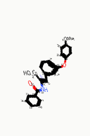 COc1ccc(Oc2cccc(/C=C(/NC(=O)c3ccccc3)C(=O)O)c2)cc1